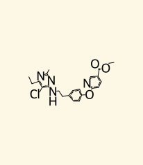 CCOC(=O)c1ccc(Oc2ccc(CCNc3nc(C)nc(CC)c3Cl)cc2)nc1